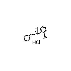 Cl.c1ccc(C2CC2)c(CNCCC2CCCCC2)c1